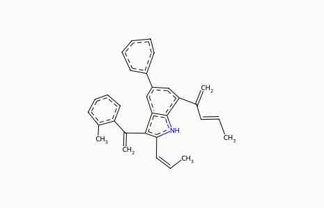 C=C(c1ccccc1C)c1c(/C=C\C)[nH]c2c(C(=C)/C=C/C)cc(-c3ccccc3)cc12